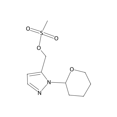 CS(=O)(=O)OCc1ccnn1C1CCCCO1